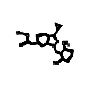 Cc1cccc(C#N)c1Cn1nc(C2CC2)c2ccc(CC(=O)OC(C)(C)C)cc21